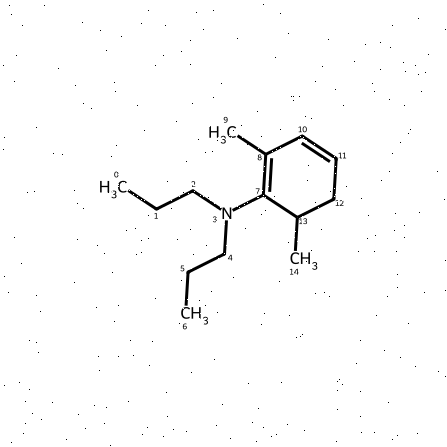 CCCN(CCC)C1=C(C)C=CCC1C